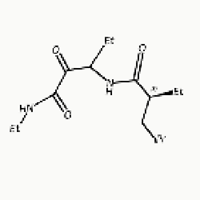 CCNC(=O)C(=O)C(CC)NC(=O)[C@@H](CC)CC(C)C